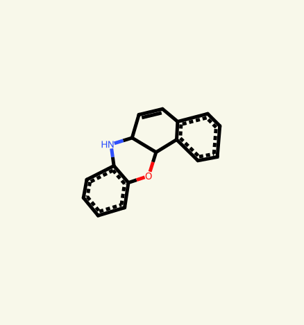 C1=CC2Nc3ccccc3OC2c2ccccc21